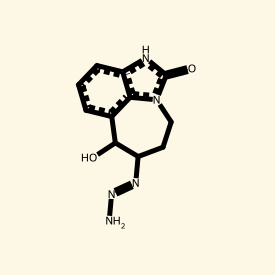 NN=NC1CCn2c(=O)[nH]c3cccc(c32)C1O